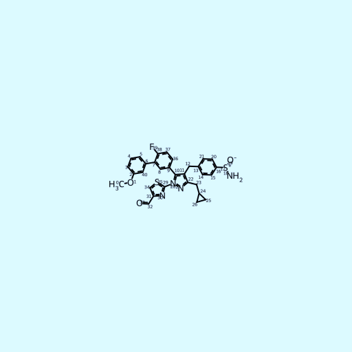 COc1cccc(-c2cc(-c3c(Cc4ccc([S+](N)[O-])cc4)c(CC4CC4)nn3-c3nc(C=O)cs3)ccc2F)c1